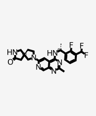 Cc1nc(N[C@H](C)c2cccc(C(F)F)c2F)c2cc(N3CC[C@@]4(CNC(=O)C4)C3)ncc2n1